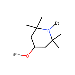 CCN1C(C)(C)CC(OC(C)C)CC1(C)C